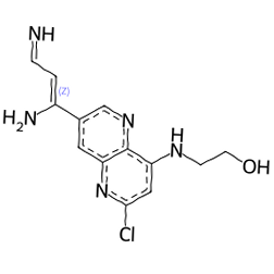 N=C/C=C(\N)c1cnc2c(NCCO)cc(Cl)nc2c1